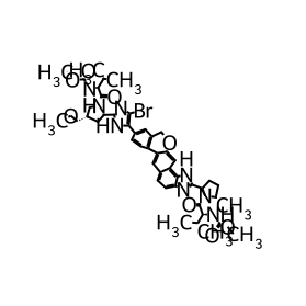 COC[C@H]1CC(c2nc(Br)c(-c3ccc4c(c3)COc3cc5c(ccc6nc(C7CC[C@H](C)N7C(=O)[C@@H](NC(=O)OC)C(C)C)[nH]c65)cc3-4)[nH]2)N(C(=O)[C@@H](NC(=O)OC)C(C)C)C1